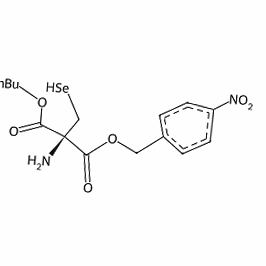 CCCCOC(=O)[C@](N)(C[SeH])C(=O)OCc1ccc([N+](=O)[O-])cc1